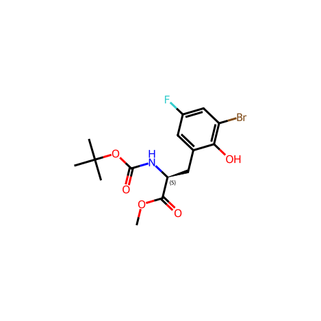 COC(=O)[C@H](Cc1cc(F)cc(Br)c1O)NC(=O)OC(C)(C)C